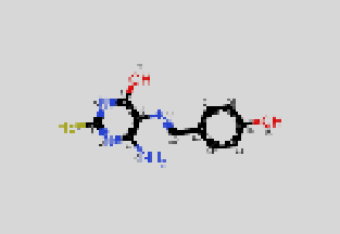 Nc1nc(S)nc(O)c1/N=C/c1ccc(O)cc1